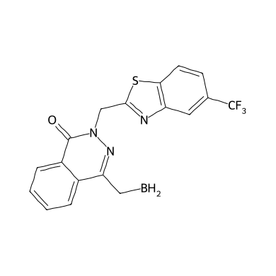 BCc1nn(Cc2nc3cc(C(F)(F)F)ccc3s2)c(=O)c2ccccc12